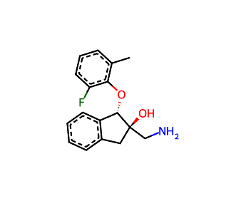 Cc1cccc(F)c1O[C@H]1c2ccccc2C[C@@]1(O)CN